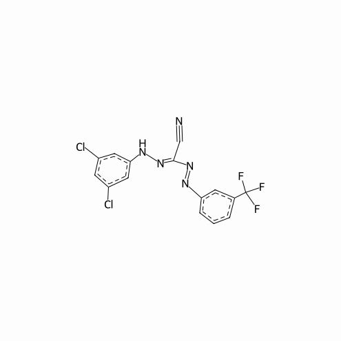 N#CC(N=Nc1cccc(C(F)(F)F)c1)=NNc1cc(Cl)cc(Cl)c1